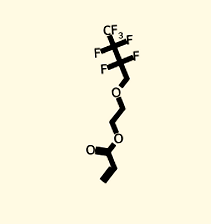 C=CC(=O)OCCOCC(F)(F)C(F)(F)C(F)(F)F